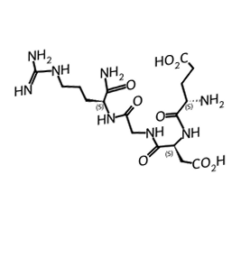 N=C(N)NCCC[C@H](NC(=O)CNC(=O)[C@H](CC(=O)O)NC(=O)[C@@H](N)CCC(=O)O)C(N)=O